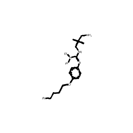 CCN(/C(=N\c1ccc(OCCCCC(C)C)cc1)NCC(C)(C)CN)C(C)C